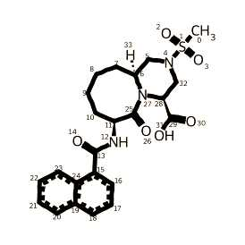 CS(=O)(=O)N1C[C@@H]2CCCC[C@H](NC(=O)c3cccc4ccccc34)C(=O)N2[C@H](C(=O)O)C1